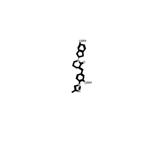 COc1ccc2c(c1)C[C@@H](N1CCC/C(=C\c3ccc(-n4cnc(C)c4)c(OC)c3)C1=O)C2